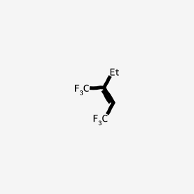 CC/C(=C/C(F)(F)F)C(F)(F)F